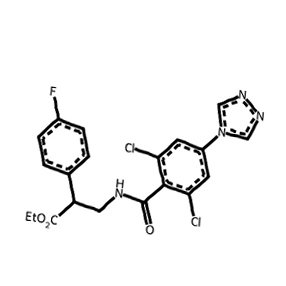 CCOC(=O)C(CNC(=O)c1c(Cl)cc(-n2cnnc2)cc1Cl)c1ccc(F)cc1